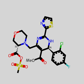 COC(=O)C1=C(CN2CCOC[C@H]2C(=O)OS(C)(=O)=O)N=C(c2nccs2)N[C@H]1c1ccc(F)cc1Cl